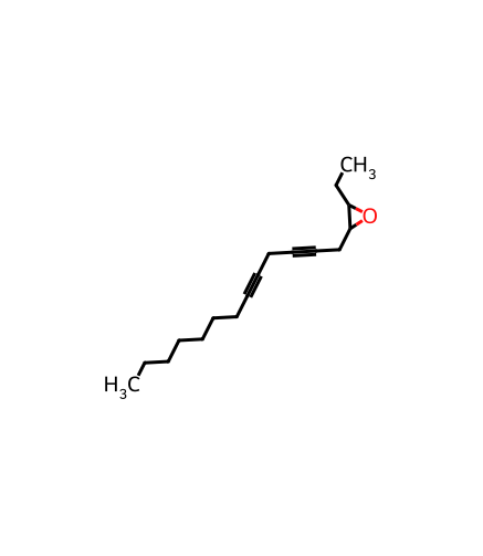 CCCCCCCC#CCC#CCC1OC1CC